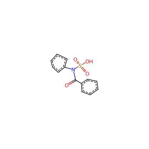 O=C(c1ccccc1)N(c1[c]cccc1)S(=O)(=O)O